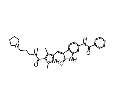 Cc1[nH]c(C=C2C(=O)Nc3cc(NC(=O)c4ccccc4)ccc32)c(C)c1C(=O)NCCCN1CCCC1